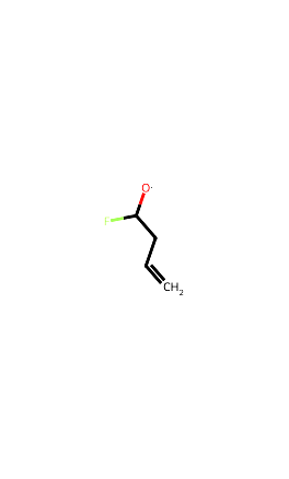 C=CCC([O])F